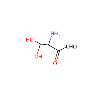 NC(C(=O)C=O)C(O)O